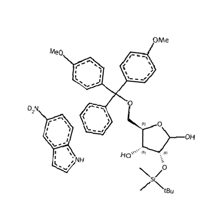 COc1ccc(C(OC[C@H]2OC(O)[C@H](O[Si](C)(C)C(C)(C)C)[C@@H]2O)(c2ccccc2)c2ccc(OC)cc2)cc1.O=[N+]([O-])c1ccc2[nH]ccc2c1